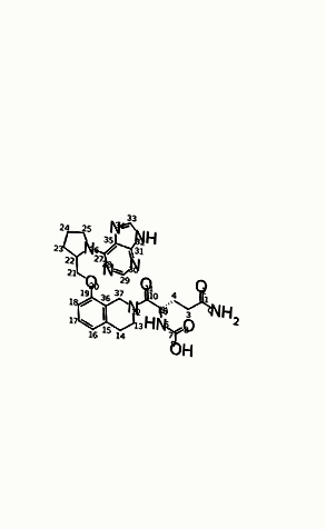 NC(=O)CC[C@H](NC(=O)O)C(=O)N1CCc2cccc(OCC3CCCN3c3ncnc4[nH]cnc34)c2C1